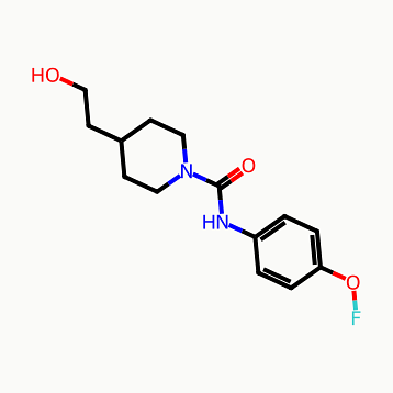 O=C(Nc1ccc(OF)cc1)N1CCC(CCO)CC1